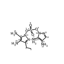 CCc1nn(OS(=O)(=O)On2ncc(N)c2N)c(N)c1N